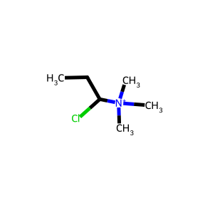 CCC(Cl)[N+](C)(C)C